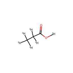 [2H]OC(=O)C([2H])([2H])C([2H])([2H])[2H]